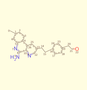 Cc1ccc2c(c1)nc(N)c1ncc(CCc3ccc(CC=O)cc3)cc12